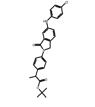 CC(C(=O)OC(C)(C)C)c1ccc(N2Cc3ccc(Nc4ccc(Cl)cc4)cc3C2=O)cc1